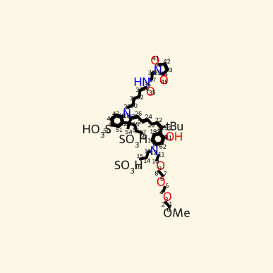 COCCOCCOCCOCCN(CCCS(=O)(=O)O)c1ccc(/C(=C\C/C=C/C=C2/N(CCCCCC(=O)NCCN3C(=O)C=CC3=O)c3ccc(S(=O)(=O)O)cc3C2(C)CCCS(=O)(=O)O)C(C)(C)C)c(O)c1